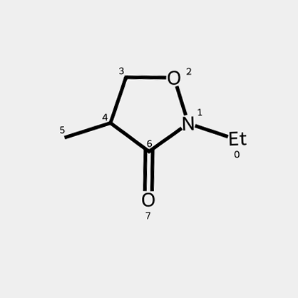 CCN1OCC(C)C1=O